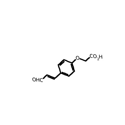 O=CC=Cc1ccc(OCC(=O)O)cc1